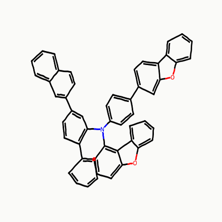 c1ccc(-c2ccc(-c3ccc4ccccc4c3)cc2N(c2ccc(-c3ccc4c(c3)oc3ccccc34)cc2)c2cccc3oc4ccccc4c23)cc1